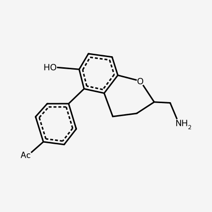 CC(=O)c1ccc(-c2c(O)ccc3c2CCC(CN)O3)cc1